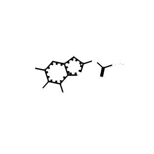 CNC(=O)Oc1cc2cc(Br)c(F)c(F)c2o1